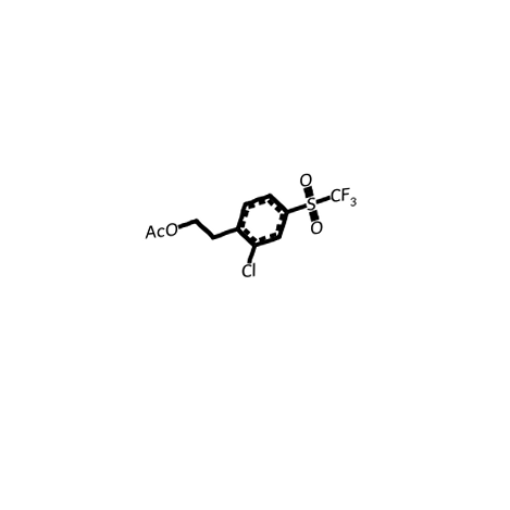 CC(=O)OCCc1ccc(S(=O)(=O)C(F)(F)F)cc1Cl